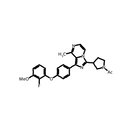 COc1cccc(Oc2ccc(-c3nc(C4CCN(C(C)=O)C4)n4ccnc(C)c34)cc2)c1F